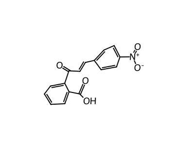 O=C(O)c1ccccc1C(=O)C=Cc1ccc([N+](=O)[O-])cc1